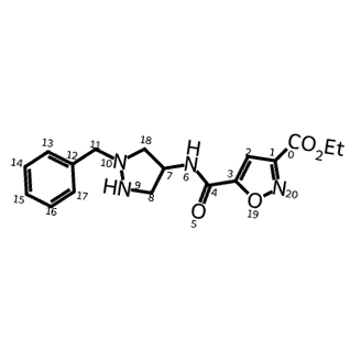 CCOC(=O)c1cc(C(=O)NC2CNN(Cc3ccccc3)C2)on1